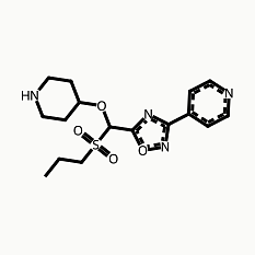 CCCS(=O)(=O)C(OC1CCNCC1)c1nc(-c2ccncc2)no1